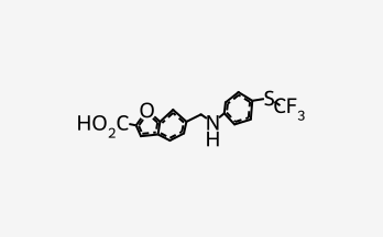 O=C(O)c1cc2ccc(CNc3ccc(SC(F)(F)F)cc3)cc2o1